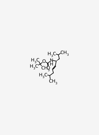 CC(C)C/C=C/[C@H](CC(C)C)NC(=O)OC(C)(C)C